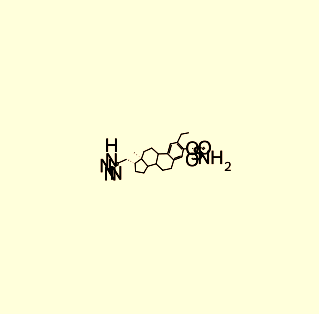 CCc1cc2c(cc1OS(N)(=O)=O)CCC1C2CC[C@@]2(C)C1CC[C@@H]2Cc1nnn[nH]1